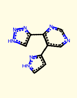 [c]1ncc(-c2cc[nH]n2)c(-c2c[nH]nn2)n1